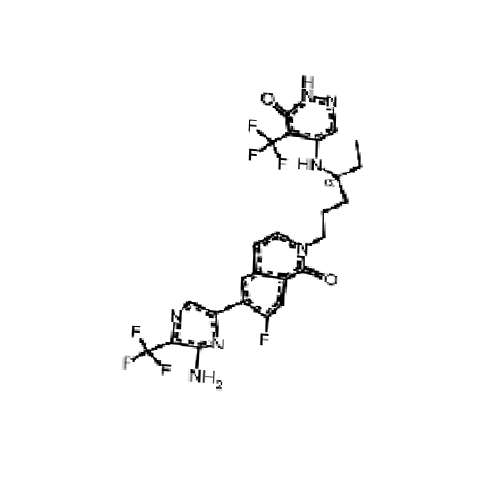 CC[C@@H](CCCn1ccc2cc(-c3cnc(C(F)(F)F)c(N)n3)c(F)cc2c1=O)Nc1cn[nH]c(=O)c1C(F)(F)F